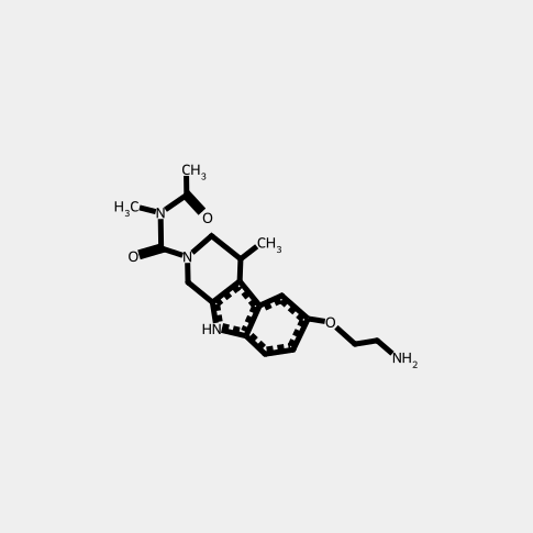 CC(=O)N(C)C(=O)N1Cc2[nH]c3ccc(OCCN)cc3c2C(C)C1